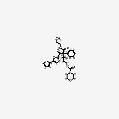 CCCNC(=O)[C@@](C(=O)c1ncc(-c2cccs2)o1)(c1ccccc1)C(F)(F)CCOC(=O)N1CCOCC1